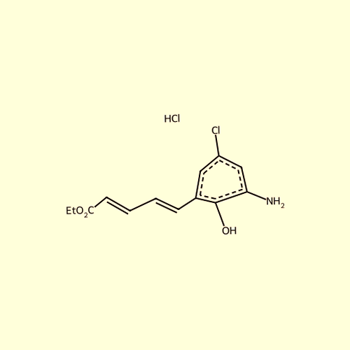 CCOC(=O)C=CC=Cc1cc(Cl)cc(N)c1O.Cl